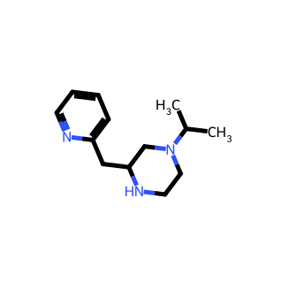 CC(C)N1CCNC(Cc2ccccn2)C1